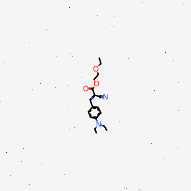 CCOCCOC(=O)/C(C#N)=C/c1ccc(N(CC)CC)cc1